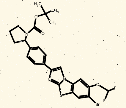 CC(C)(C)OC(=O)N1CCCC1c1ccc(-c2cn3c(n2)sc2cc(Br)c(OC(F)F)cc23)cc1